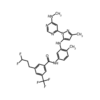 CNc1cc(-n2nc(C)cc2Nc2cc(NC(=O)c3cc(CCC(F)F)cc(C(F)(F)F)c3)ccc2C)ncn1